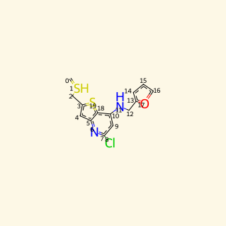 C=[SH]Cc1cc2nc(Cl)cc(NCc3ccco3)c2s1